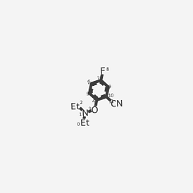 CCN(CC)Oc1c[c]c(F)cc1C#N